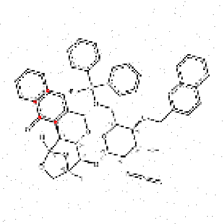 CC(C)(C)[Si](OC[C@H]1O[C@@H](O[C@@H]2[C@@H](OCc3ccccc3)[C@H](OC(=O)c3ccccc3)[C@@H]3OC[C@H]2O3)[C@@H](N=[N+]=[N-])[C@@H](O)[C@@H]1OCc1ccc2ccccc2c1)(c1ccccc1)c1ccccc1